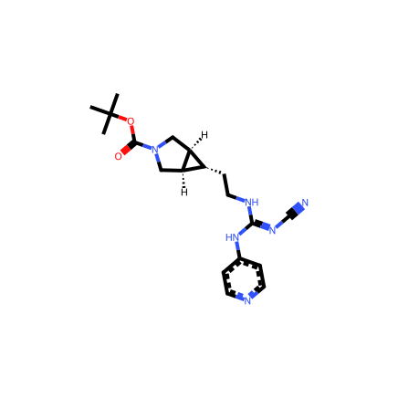 CC(C)(C)OC(=O)N1C[C@@H]2[C@@H](CCN/C(=N\C#N)Nc3ccncc3)[C@@H]2C1